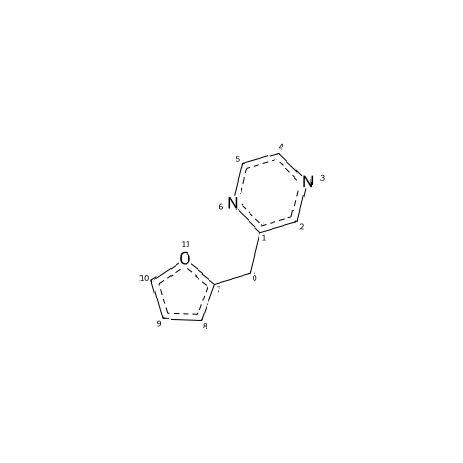 [CH](c1cnccn1)c1ccco1